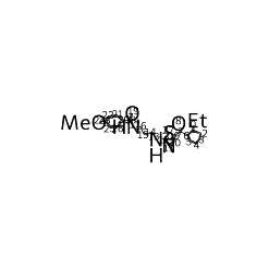 CCc1ccccc1C(=O)c1cnc(NCCCNC(=O)c2ccc(OC)cc2)s1